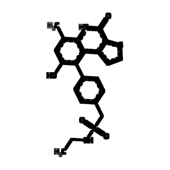 CCNS(=O)(=O)Cc1ccc(-c2c(O)cc(C)c3[nH]c(=O)c4sccc4c23)cc1